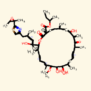 CCC(C)OC(=O)C1(C)CCC(C)CC(O)C(C)C(=O)C(C)/C=C\CC(C)C(O)C(O)C(OC)/C(C)=C/C=C/C(C)C(C(C)(O)/C=C(/C)Cc2csc(C3(C)OC3C)n2)OC1=O